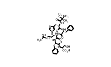 CC(C)(N)C(=O)N[C@@H](Cc1c[nH]cn1)C(=O)N[C@H](Cc1ccccc1)C(=O)N[C@@H](CCCNC(=N)N)C(=O)N[C@@H](Cc1ccccc1)C(=O)N[C@@H](CS)C(=O)O